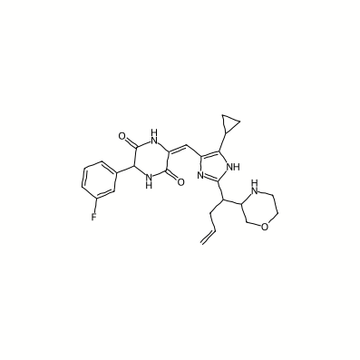 C=CCC(c1nc(C=C2NC(=O)C(c3cccc(F)c3)NC2=O)c(C2CC2)[nH]1)C1COCCN1